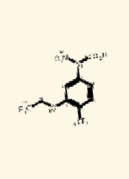 O=C(O)N(c1ccc(C(F)(F)F)c(OCC(F)(F)F)c1)[N+](=O)[O-]